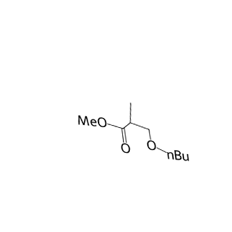 CCCCOCC(C)C(=O)OC